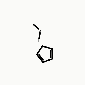 [CH]1C=CC=C1.[I][Zr][I]